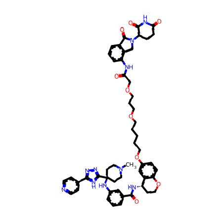 CN1CCC(Nc2cccc(C(=O)N[C@H]3CCOc4ccc(OCCCCCOCCCOCC(=O)Nc5cccc6c5CN(C5CCC(=O)NC5=O)C6=O)cc43)c2)(c2nnc(-c3ccncc3)[nH]2)CC1